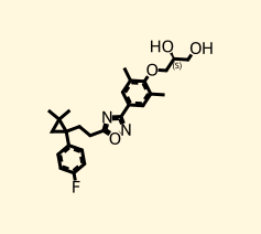 Cc1cc(-c2noc(CCC3(c4ccc(F)cc4)CC3(C)C)n2)cc(C)c1OC[C@@H](O)CO